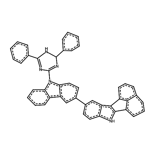 c1ccc(C2=NC(n3c4ccccc4c4cc(-c5ccc6[nH]c7c(c6c5)-c5cccc6cccc-7c56)ccc43)=NC(c3ccccc3)N2)cc1